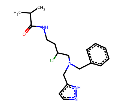 CC(C)C(=O)NCCC(Cl)CN(Cc1ccccc1)Cc1ccn[nH]1